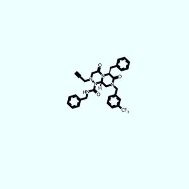 C#CCN1CC(=O)N2[C@@H](Cc3ccccc3)C(=O)N(Cc3cccc(C(F)(F)F)c3)C[C@@H]2N1C(=O)NCc1ccccc1